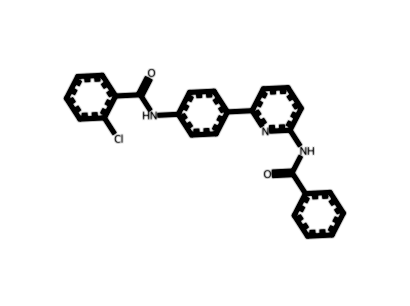 O=C(Nc1cccc(-c2ccc(NC(=O)c3ccccc3Cl)cc2)n1)c1ccccc1